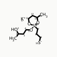 CC(O)CCO[Si]1(CCC[S-])OCCC(C)O1.[K+]